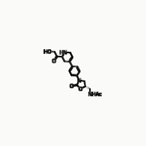 CC(=O)NC[C@H]1CN(c2ccc(C3=CCNC(C(=O)CO)C3)cc2)C(=O)O1